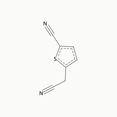 N#CCc1ccc(C#N)s1